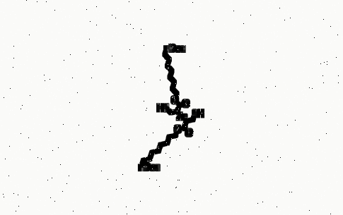 CCCCCCCCCCCCCCCCCCOC(=O)[CH](CS)[Zn][CH](CS)C(=O)OCCCCCCCCCCCCCCCCCC